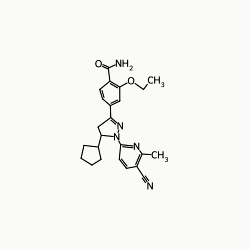 CCOc1cc(C2=NN(c3ccc(C#N)c(C)n3)C(C3CCCC3)C2)ccc1C(N)=O